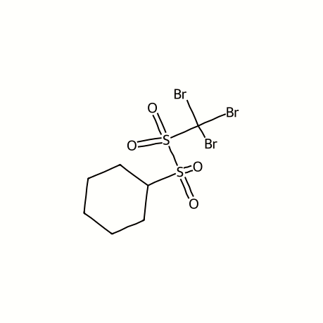 O=S(=O)(C1CCCCC1)S(=O)(=O)C(Br)(Br)Br